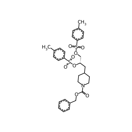 Cc1ccc(S(=O)(=O)OC[C@H](CC2CCN(C(=O)OCc3ccccc3)CC2)OS(=O)(=O)c2ccc(C)cc2)cc1